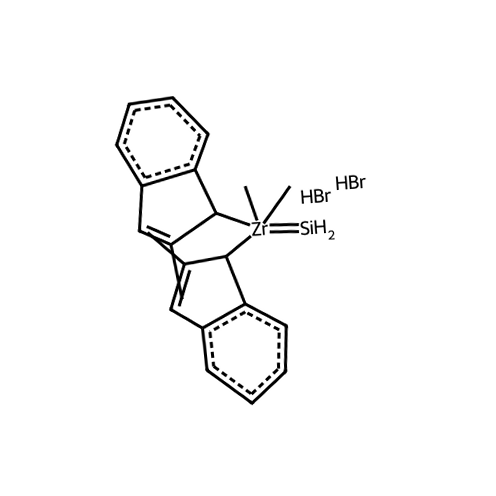 Br.Br.CC1=Cc2ccccc2[CH]1[Zr]([CH3])([CH3])(=[SiH2])[CH]1C(C)=Cc2ccccc21